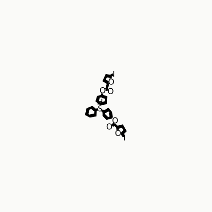 O=C(Oc1ccc([SH](c2ccccc2)c2ccc(OC(=O)c3ccc(I)o3)cc2)cc1)c1ccc(I)o1